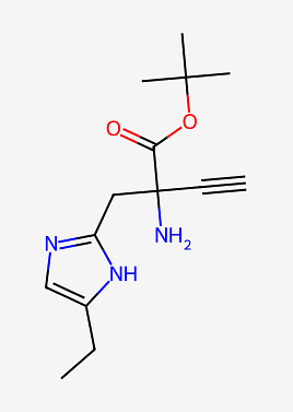 C#CC(N)(Cc1ncc(CC)[nH]1)C(=O)OC(C)(C)C